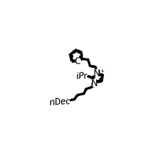 CCCCCCCCCCCCCCCn1cc[n+](CCCc2ccccc2)c1C(C)C